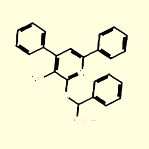 N#Cc1c(-c2ccccc2)cc(-c2ccccc2)nc1SC(C(=O)O)c1ccccc1